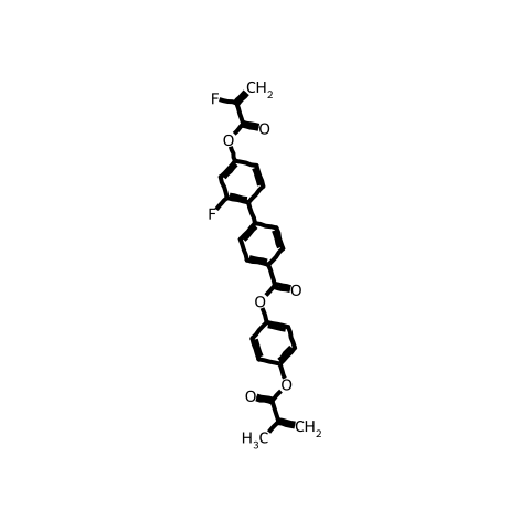 C=C(C)C(=O)Oc1ccc(OC(=O)c2ccc(-c3ccc(OC(=O)C(=C)F)cc3F)cc2)cc1